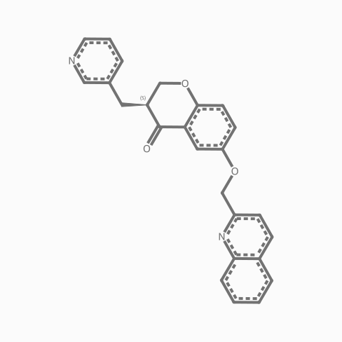 O=C1c2cc(OCc3ccc4ccccc4n3)ccc2OC[C@@H]1Cc1cccnc1